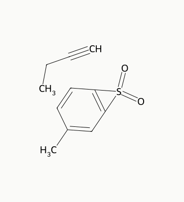 C#CCC.Cc1ccc2c(c1)S2(=O)=O